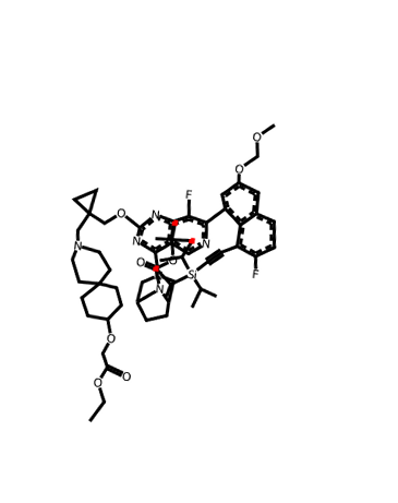 CCOC(=O)COC1CCC2(CC1)CCN(CC1(COc3nc(N4CC5CCC(C4)N5C(=O)OC(C)(C)C)c4cnc(-c5cc(OCOC)cc6ccc(F)c(C#C[Si](C(C)C)(C(C)C)C(C)C)c56)c(F)c4n3)CC1)CC2